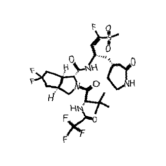 CC(C)(C)[C@H](NC(=O)C(F)(F)F)C(=O)N1C[C@H]2CC(F)(F)C[C@H]2[C@@H]1C(=O)N[C@H](/C=C(/F)S(C)(=O)=O)C[C@H]1CCNC1=O